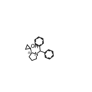 OC1([C@@H]2CCCN2C(c2ccccc2)c2ccccc2)CC1